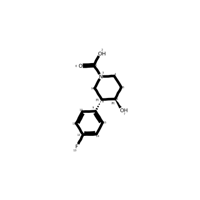 O=C(O)N1CC[C@@H](O)[C@H](c2ccc(F)cc2)C1